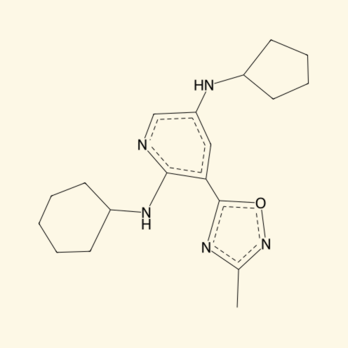 Cc1noc(-c2cc(NC3CCCC3)cnc2NC2CCCCC2)n1